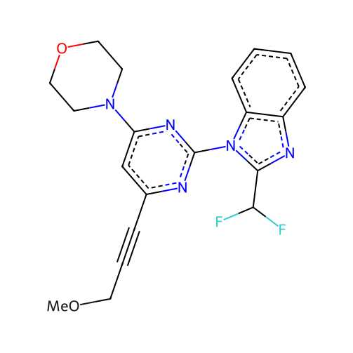 COCC#Cc1cc(N2CCOCC2)nc(-n2c(C(F)F)nc3ccccc32)n1